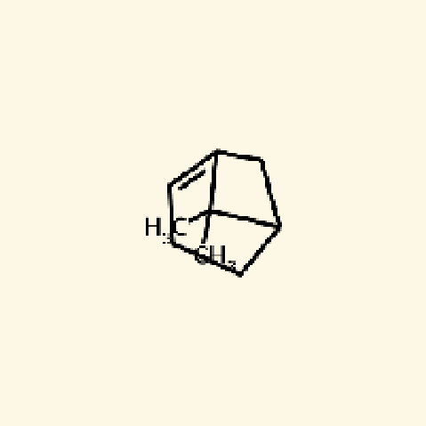 CC1(C)C2=CCCC1C2